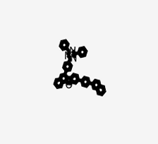 c1ccc(-c2nc(-c3ccccc3)nc(-c3ccc(-c4cc5ccccc5c5oc6cc(-c7ccc(-c8ccc9ccccc9c8)cc7)ccc6c45)cc3)n2)cc1